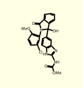 COC(=O)Nc1nc2cc(C3(O)c4ccccc4C(=O)N3c3cc(Cl)ccc3OC)ccc2[nH]1